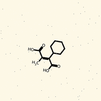 CC(C(=O)O)=C(C(=O)O)C1CCCCC1